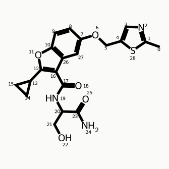 Cc1ncc(COc2ccc3oc(C4CC4)c(C(=O)NC(CO)C(N)=O)c3c2)s1